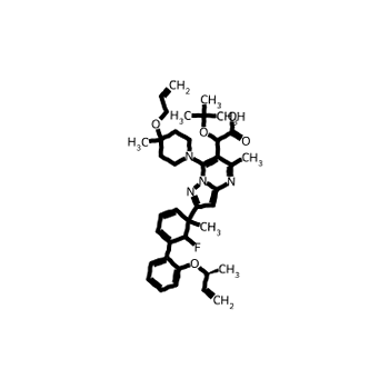 C=CCOC1(C)CCN(c2c(C(OC(C)(C)C)C(=O)O)c(C)nc3cc(C4(C)C=CC=C(c5ccccc5O[C@@H](C)C=C)C4F)nn23)CC1